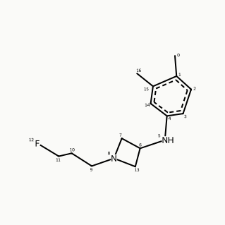 Cc1ccc(NC2CN(CCCF)C2)cc1C